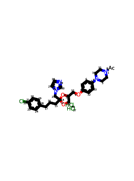 CC(=O)N1CCN(c2ccc(OCC3COC(CCCc4ccc(Cl)cc4)(Cn4ccnc4)O3)cc2)CC1.Cl.Cl